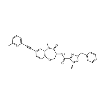 Cc1cccc(C#Cc2ccc3c(c2)N(C)C(=O)C(NC(=O)c2nn(Cc4ccccc4)cc2F)CO3)n1